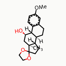 COc1ccc2c(c1)CC[C@@H]1[C@@H]2[C@H](O)C[C@@]2(C)[C@H]1CCC21OCCO1